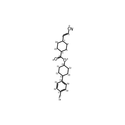 N#CC=CC1CCC(C(=O)OC2CCC(c3ccc(F)cc3)CC2)CC1